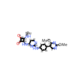 COc1ncc(-c2ccc(Nc3nccc(Nc4c(NC(C)(C)C)c(=O)c4=O)n3)cc2)c(OC)n1